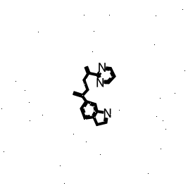 C=C(CCC(=C)c1ncccn1)c1ccc2c(c1)N=CC2